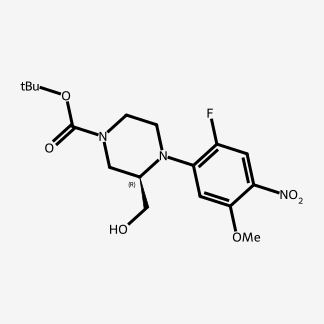 COc1cc(N2CCN(C(=O)OC(C)(C)C)C[C@@H]2CO)c(F)cc1[N+](=O)[O-]